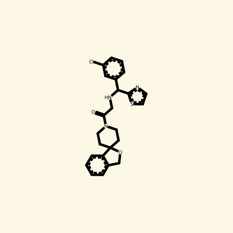 O=C(CNC(c1cccc(Cl)c1)c1nccs1)N1CCC2(CC1)OCc1ccccc12